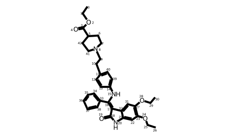 CCOC(=O)C1CCN(CCc2ccc(NC(=C3C(=O)Nc4cc(OCC)c(OCC)cc43)c3ccccc3)cc2)CC1